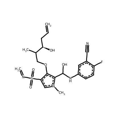 C=CC[C@@H](O)C(C)COc1c(S(=O)(=O)N=C)cn(C)c1C(O)Nc1ccc(F)c(C#N)c1